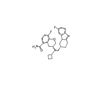 NC(=O)c1ccc(F)c2c1C[C@H](N(C[C@@H]1CCC3=Nc4ccc(F)cc4C3C1)C1CCC1)CO2